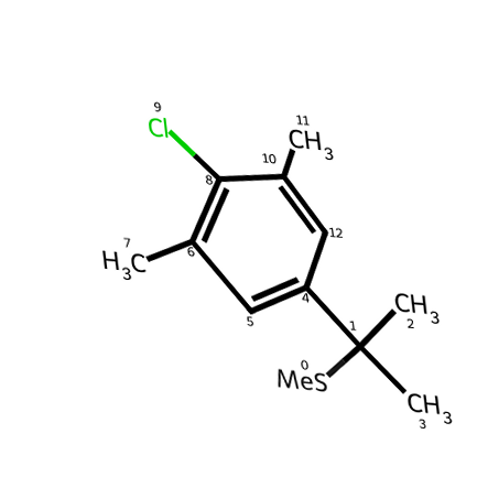 CSC(C)(C)c1cc(C)c(Cl)c(C)c1